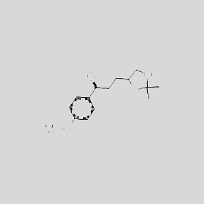 COc1ccc(C(=O)CCC2COC(C)(C)O2)cc1